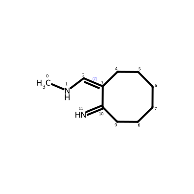 CN/C=C1/CCCCCCC1=N